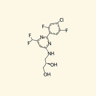 OC[C@H](O)CNc1cc(C(F)F)nc(-c2cc(F)c(Cl)cc2F)n1